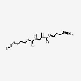 [N-]=[N+]=NCCCOC(=O)NCNC(=O)OCCCN=[N+]=[N-]